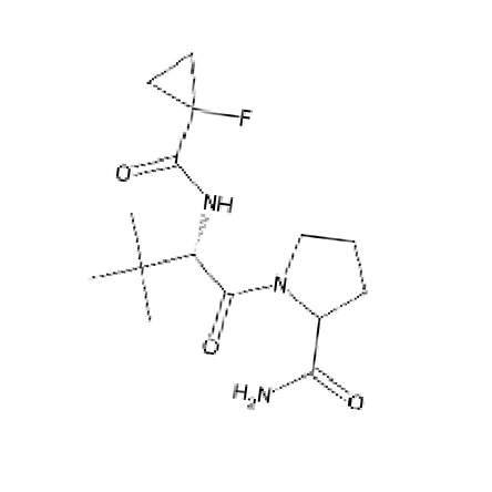 CC(C)(C)[C@H](NC(=O)C1(F)CC1)C(=O)N1CCCC1C(N)=O